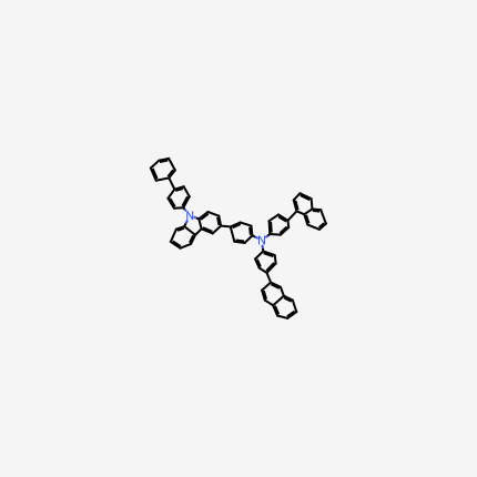 c1ccc(-c2ccc(-n3c4ccccc4c4cc(-c5ccc(N(c6ccc(-c7ccc8ccccc8c7)cc6)c6ccc(-c7cccc8ccccc78)cc6)cc5)ccc43)cc2)cc1